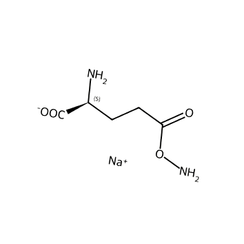 NOC(=O)CC[C@H](N)C(=O)[O-].[Na+]